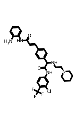 Nc1ccccc1NC(=O)C=Cc1ccc(C(NCCN2CCCCC2)C(=O)Nc2ccc(C(F)(F)F)c(Cl)c2)cc1